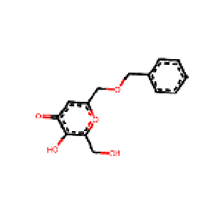 O=c1cc(COCc2ccccc2)oc(CO)c1O